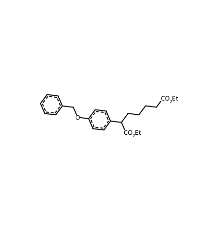 CCOC(=O)CCCCC(C(=O)OCC)c1ccc(OCc2ccccc2)cc1